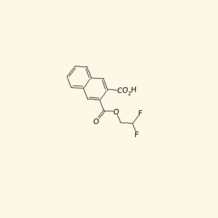 O=C(O)c1cc2ccccc2cc1C(=O)OCC(F)F